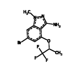 CC(Oc1cc(Br)cc2c1c(N)nn2C)C(F)(F)F